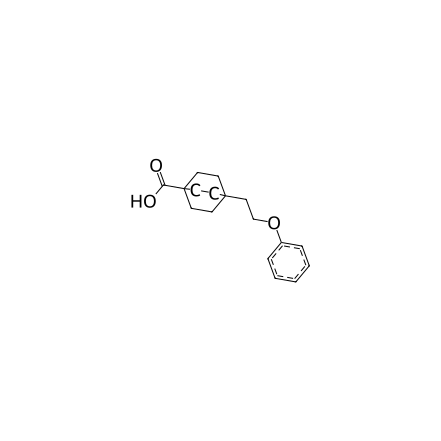 O=C(O)C12CCC(CCOc3ccccc3)(CC1)CC2